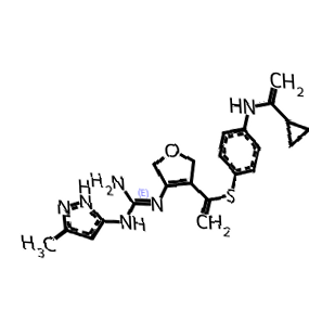 C=C(Sc1ccc(NC(=C)C2CC2)cc1)C1=C(/N=C(\N)Nc2cc(C)n[nH]2)COC1